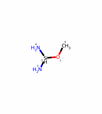 CO[SiH](N)N